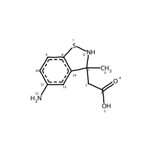 CC1(CC(=O)O)NSc2ccc(N)cc21